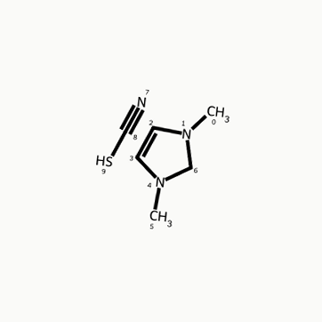 CN1C=CN(C)C1.N#CS